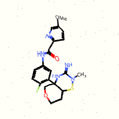 COc1ccc(C(=O)Nc2ccc(F)c(C34COCCC3SN(C)C(=N)N4)c2)nc1